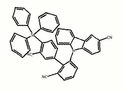 N#Cc1ccc2c(c1)c1ccccc1n2-c1cccc(C#N)c1-c1ccc([Si](c2ccccc2)(c2ccccc2)c2ccccc2)c(C#N)c1